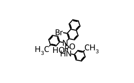 Cc1cccc(NP(=O)(O)N(c2cccc(C)c2)c2ccc3ccccc3c2Br)c1